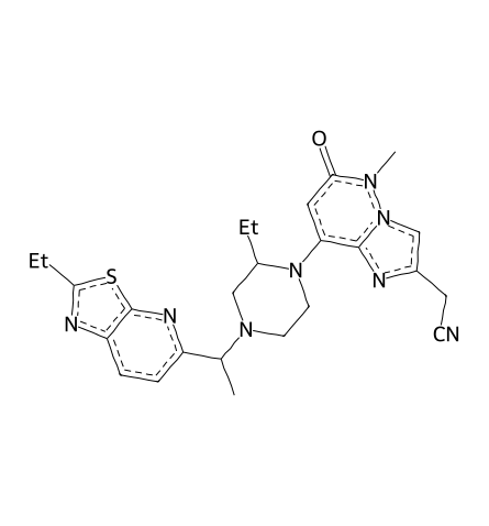 CCc1nc2ccc(C(C)N3CCN(c4cc(=O)n(C)n5cc(CC#N)nc45)C(CC)C3)nc2s1